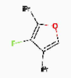 CC(C)c1coc(C(C)C)c1F